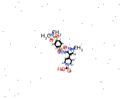 CN(C)S(=O)(=O)c1ccc(S(=O)(=O)Nc2nn(C)cc2C2=CCN(C(=O)O)CC2)cc1